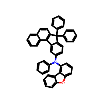 c1ccc(N(c2ccc3c(c2)-c2c(ccc4ccccc24)C3(c2ccccc2)c2ccccc2)c2cccc3oc4ccccc4c23)cc1